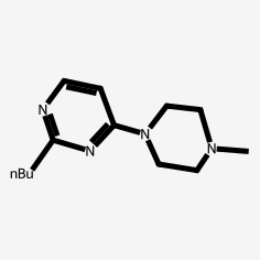 CCCCc1nccc(N2CCN(C)CC2)n1